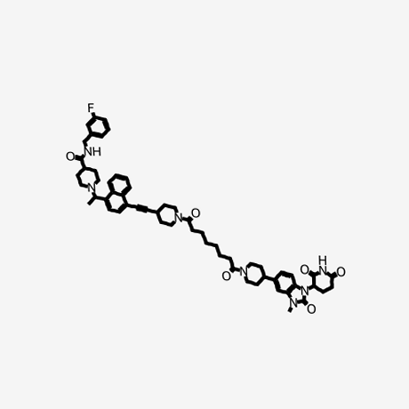 CC(c1ccc(C#CC2CCN(C(=O)CCCCCCC(=O)N3CCC(c4ccc5c(c4)n(C)c(=O)n5C4CCC(=O)NC4=O)CC3)CC2)c2ccccc12)N1CCC(C(=O)NCc2cccc(F)c2)CC1